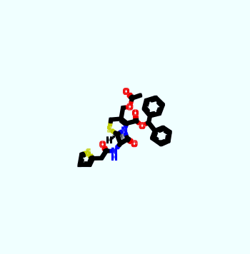 CC(=O)OCC1=C(C(=O)OC(c2ccccc2)c2ccccc2)N2C(=O)C(NC(=O)Cc3cccs3)[C@H]2SC1